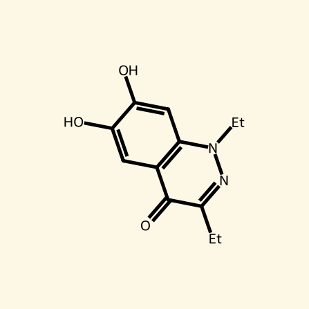 CCc1nn(CC)c2cc(O)c(O)cc2c1=O